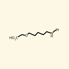 CC(C)NCCCCCOCC(=O)O